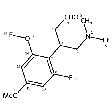 CCN(C)CC(CC=O)c1c(F)cc(OC)cc1OF